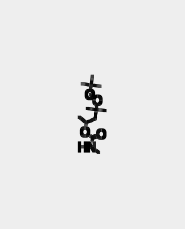 CNC(=O)OC(C)CC(C)(C)OOC(C)(C)C